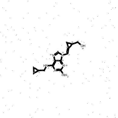 Nc1nc(NCC2CC2)c2ncn(C=C3CC3CO)c2n1